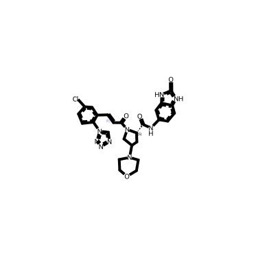 O=C(Nc1ccc2[nH]c(=O)[nH]c2c1)[C@@H]1CC(N2CCOCC2)CN1C(=O)/C=C/c1cc(Cl)ccc1-n1cnnn1